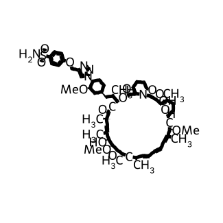 CO[C@H]1C[C@@H]2CC[C@@H](C)[C@@](O)(O2)C(=O)C(=O)N2CCCC[C@H]2C(=O)O[C@H]([C@H](C)C[C@@H]2CC[C@H](n3cc(COc4ccc(S(N)(=O)=O)cc4)nn3)[C@H](OC)C2)CC(=O)[C@H](C)/C=C(\C)[C@@H](O)[C@@H](OC)C(=O)[C@H](C)C[C@H](C)/C=C/C=C/C=C/1C